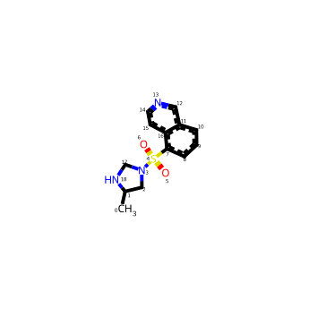 CC1CN(S(=O)(=O)c2cccc3cnccc23)CN1